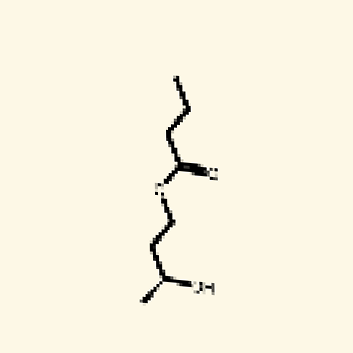 CCCC(=O)OCC[C@H](C)O